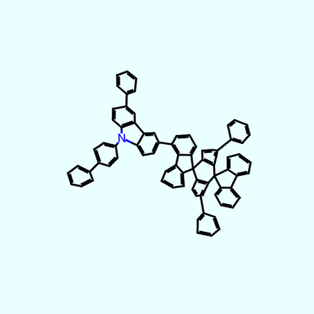 c1ccc(-c2ccc(-n3c4ccc(-c5ccccc5)cc4c4cc(-c5cccc6c5-c5ccccc5C65c6ccc(-c7ccccc7)cc6C6(c7ccccc7-c7ccccc76)c6cc(-c7ccccc7)ccc65)ccc43)cc2)cc1